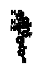 COC(=O)c1ccc2nc(Cc3cc(F)c(-c4cccc(OCc5ccc(C#N)cc5F)n4)cc3F)n(CC3(OC)CNC3)c2c1